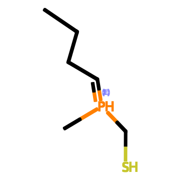 CCC/C=[PH](\C)CS